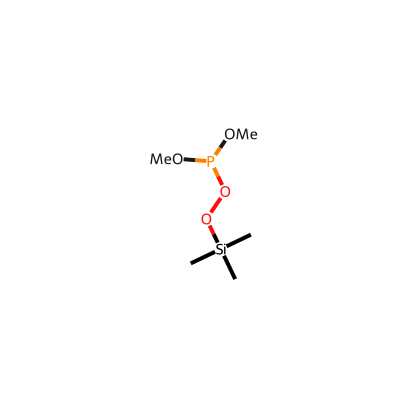 COP(OC)OO[Si](C)(C)C